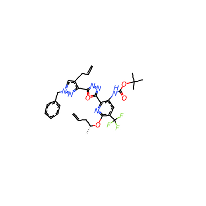 C=CCc1cn(Cc2ccccc2)nc1-c1nnc(-c2nc(O[C@H](C)CC=C)c(C(F)(F)F)cc2NC(=O)OC(C)(C)C)o1